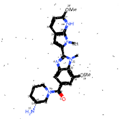 CCn1c(-c2nc3cc(C(=O)N4CCC[C@@H](N)C4)cc(OC)c3n2C)cc2c1NC(OC)C=C2